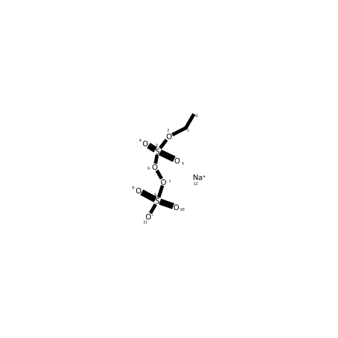 CCOS(=O)(=O)OOS(=O)(=O)[O-].[Na+]